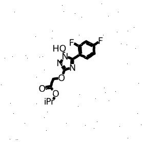 CC(C)OC(=O)COc1nc(-c2ccc(F)cc2F)n(O)n1